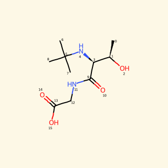 C[C@@H](O)[C@H](NC(C)(C)C)C(=O)NCC(=O)O